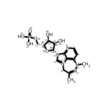 CC1=NN(C)c2ccnc3c2[n+](cn3[C@@H]2O[C@H](COP(=O)(O)O)[C@@H](O)[C@H]2O)C1